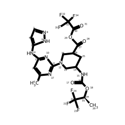 Cc1cc(Nc2ccn[nH]2)nc(N2CC(NC(=O)O[C@@H](C)C(F)(F)F)CC(C(=O)OC(=O)C(F)(F)F)C2)n1